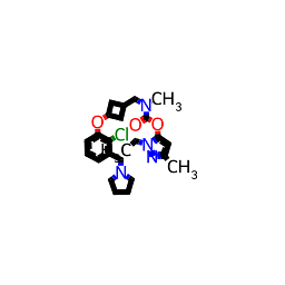 CCn1nc(C)cc1OC(=O)N(C)CC1CC(Oc2cccc(CN3CCCC3)c2Cl)C1